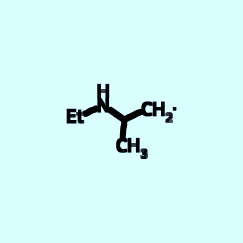 [CH2]C(C)NCC